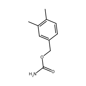 Cc1ccc(COC(N)=O)cc1C